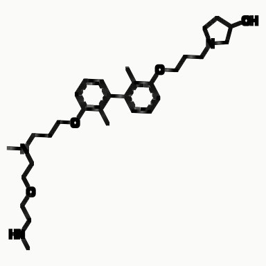 CNCCOCCN(C)CCCOc1cccc(-c2cccc(OCCCN3CCC(O)C3)c2C)c1C